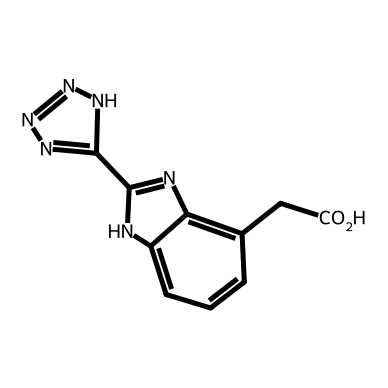 O=C(O)Cc1cccc2[nH]c(-c3nnn[nH]3)nc12